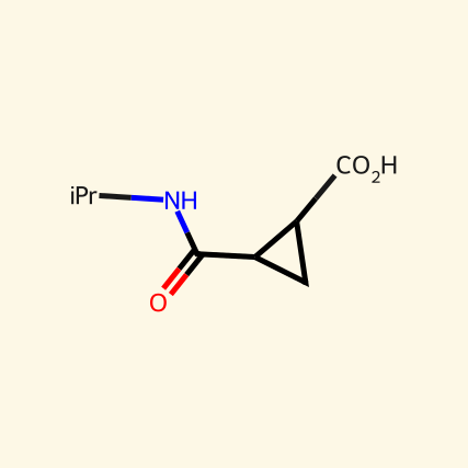 CC(C)NC(=O)C1CC1C(=O)O